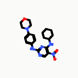 O=[N+]([O-])c1cnc(Nc2ccc(N3CCOCC3)cc2)nc1NC1CCCCC1